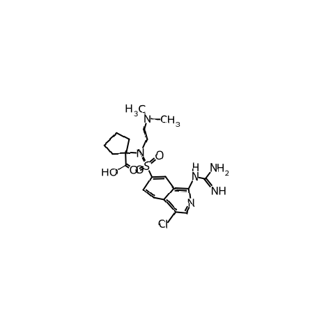 CN(C)CCN(C1(C(=O)O)CCCC1)S(=O)(=O)c1ccc2c(Cl)cnc(NC(=N)N)c2c1